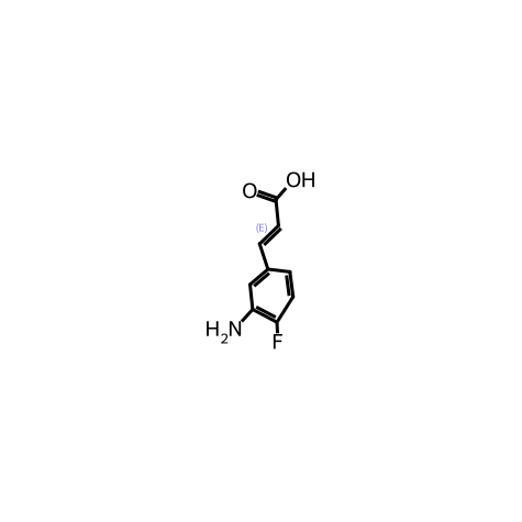 Nc1cc(/C=C/C(=O)O)ccc1F